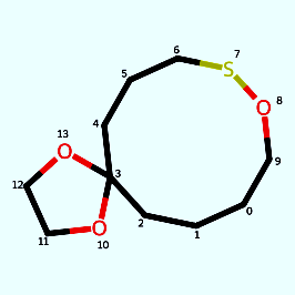 C1CCC2(CCCSOC1)OCCO2